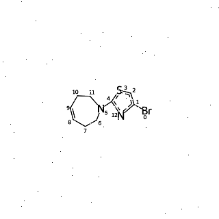 Brc1csc(N2CCC=CCC2)n1